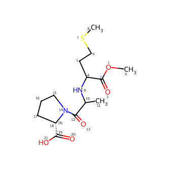 COC(=O)C(CCSC)NC(C)C(=O)N1CCC[C@H]1C(=O)O